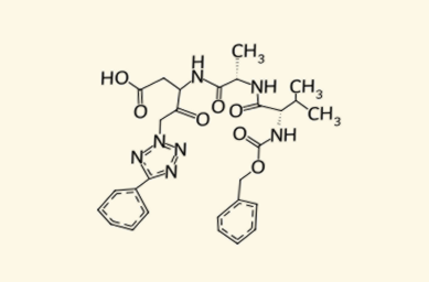 CC(C)[C@H](NC(=O)OCc1ccccc1)C(=O)N[C@@H](C)C(=O)NC(CC(=O)O)C(=O)Cn1nnc(-c2ccccc2)n1